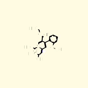 C=C(C)N1C=C(C(=O)OCC)C(c2c(F)cccc2OC)=C/C1=C/C(C)C